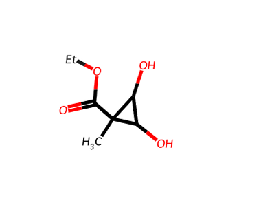 CCOC(=O)C1(C)C(O)C1O